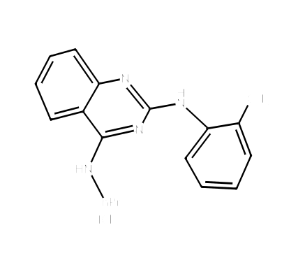 CCCNc1nc(Nc2ccccc2C)nc2ccccc12.Cl